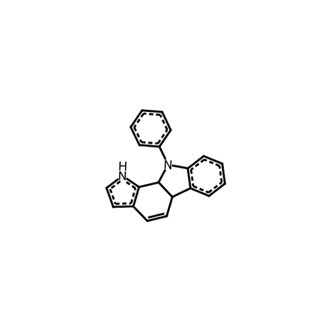 C1=CC2c3ccccc3N(c3ccccc3)C2c2[nH]ccc21